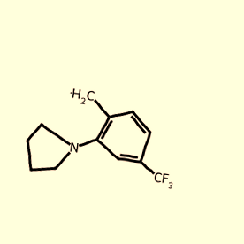 [CH2]c1ccc(C(F)(F)F)cc1N1CCCC1